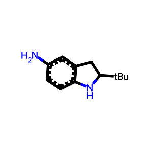 CC(C)(C)C1Cc2cc(N)ccc2N1